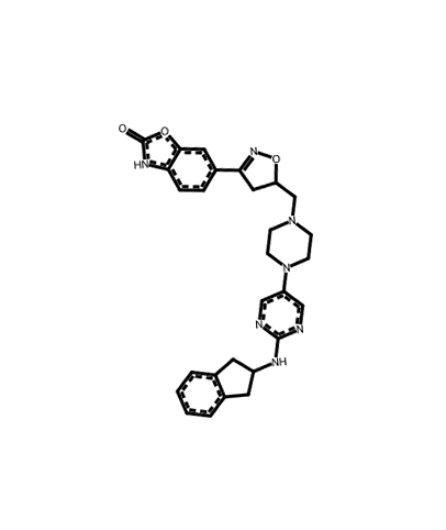 O=c1[nH]c2ccc(C3=NOC(CN4CCN(c5cnc(NC6Cc7ccccc7C6)nc5)CC4)C3)cc2o1